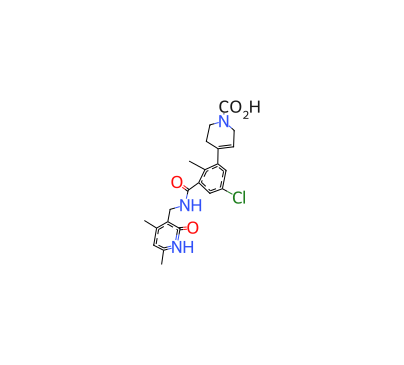 Cc1cc(C)c(CNC(=O)c2cc(Cl)cc(C3=CCN(C(=O)O)CC3)c2C)c(=O)[nH]1